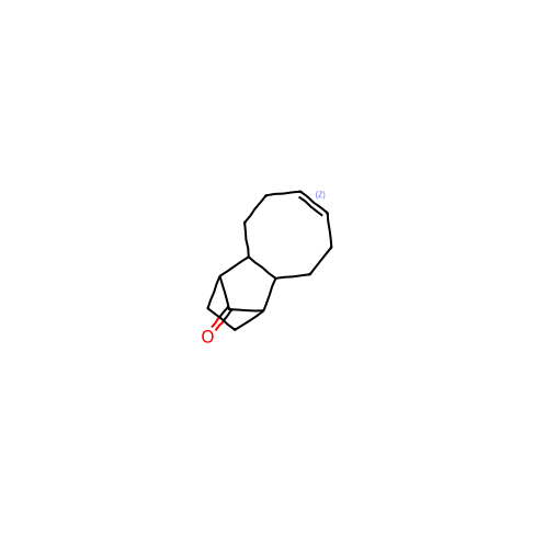 O=C1C2CCC1C1CC/C=C\CCC21